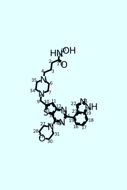 O=C(CCCN1CCN(Cc2cc3nc(-c4cccc5[nH]ncc45)nc(N4CCOCC4)c3s2)CC1)NO